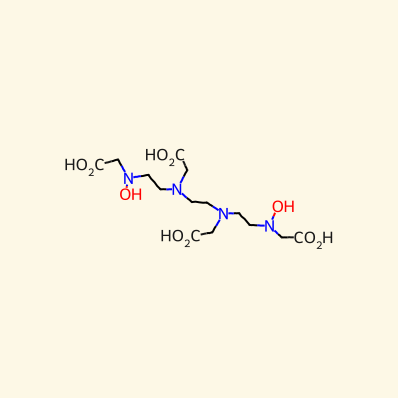 O=C(O)CN(O)CCN(CCN(CCN(O)CC(=O)O)CC(=O)O)CC(=O)O